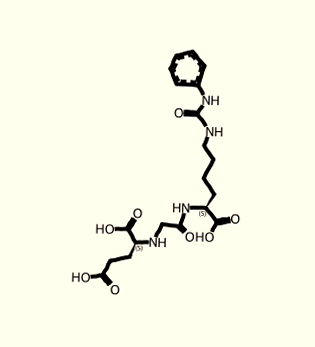 O=C(O)CC[C@H](NCC(=O)N[C@@H](CCCCNC(=O)Nc1ccccc1)C(=O)O)C(=O)O